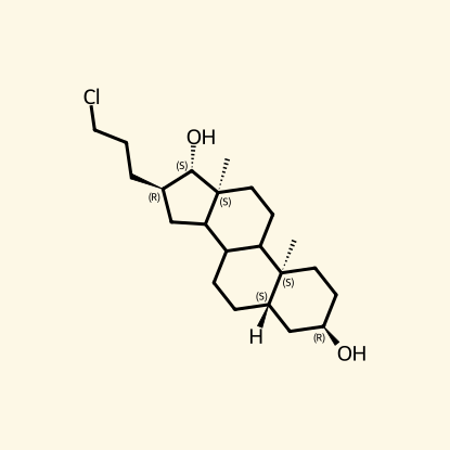 C[C@]12CCC3C(CC[C@H]4C[C@H](O)CC[C@]34C)C1C[C@@H](CCCCl)[C@@H]2O